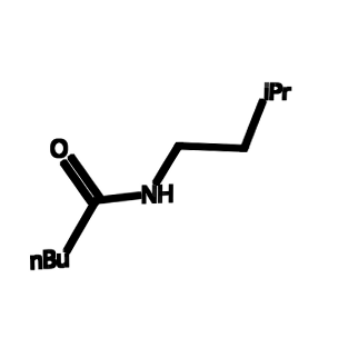 [CH2]CCCC(=O)NCCC(C)C